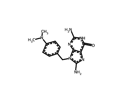 CN(C)c1ccc(Cn2c(N)nc3c(=O)[nH]c(N)nc32)cc1